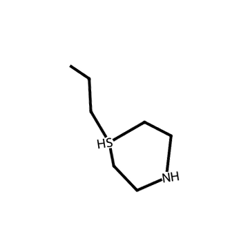 CCC[SH]1CCNCC1